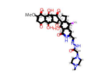 COC1=CC(=O)c2c(O)c3c(c(O)c2C1=O)C(=O)[C@]1(CCc2c1c(O)c1c(=O)[nH]c(/C=N/NC(=O)CN4CCN(C)CC4)cc1c2I)C3=O